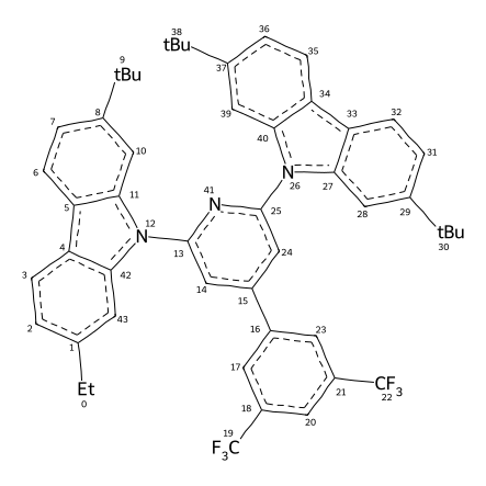 CCc1ccc2c3ccc(C(C)(C)C)cc3n(-c3cc(-c4cc(C(F)(F)F)cc(C(F)(F)F)c4)cc(-n4c5cc(C(C)(C)C)ccc5c5ccc(C(C)(C)C)cc54)n3)c2c1